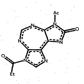 CCC(=O)n1cnc2c3nc(=O)n(C(C)=O)c-3ncnc21